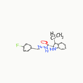 CC(C)c1c(C(=O)NN=Cc2ccc(F)cc2)[nH]c2ccccc12